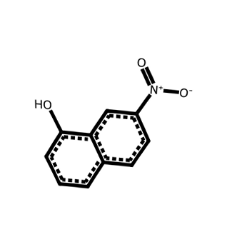 O=[N+]([O-])c1ccc2cccc(O)c2c1